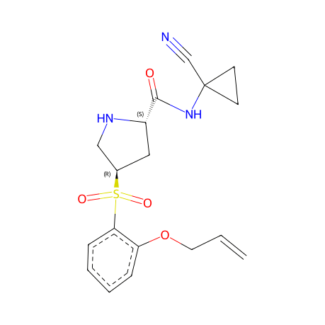 C=CCOc1ccccc1S(=O)(=O)[C@H]1CN[C@H](C(=O)NC2(C#N)CC2)C1